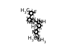 Cc1cc(F)cc(-c2ccnc3[nH]c(-c4n[nH]c5ccc(-c6cncc(CN(C)C)c6)nc45)nc23)c1